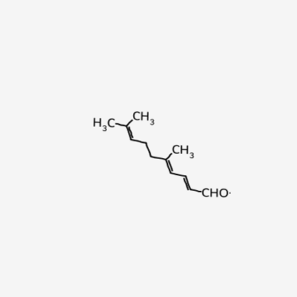 CC(C)=CCC/C(C)=C/C=C/[C]=O